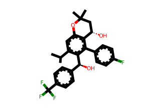 CC(C)c1cc2c(c(-c3ccc(F)cc3)c1[C@@H](O)c1ccc(C(F)(F)F)cc1)[C@@H](O)CC(C)(C)O2